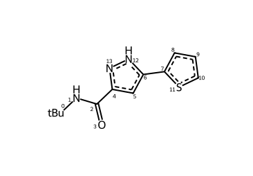 CC(C)(C)NC(=O)c1cc(-c2cccs2)[nH]n1